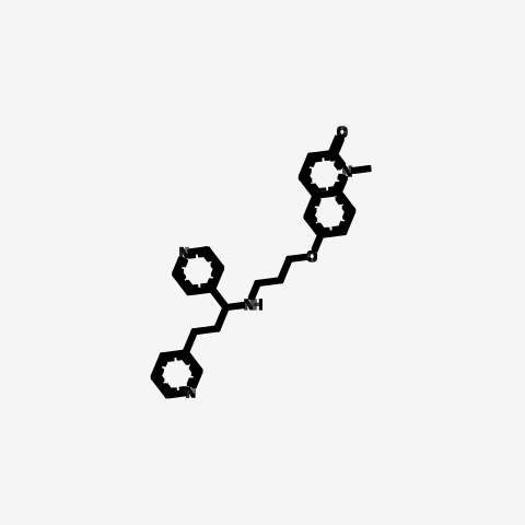 Cn1c(=O)ccc2cc(OCCCNC(CCc3cccnc3)c3ccncc3)ccc21